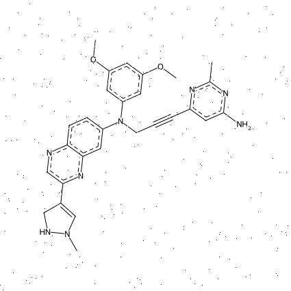 COc1cc(OC)cc(N(CC#Cc2cc(N)nc(C)n2)c2ccc3ncc(C4=CN(C)NC4)nc3c2)c1